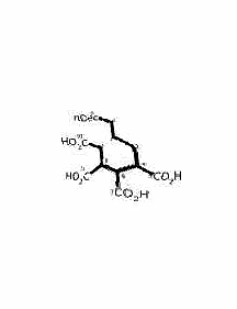 CCCCCCCCCCCCCC(C(=O)O)C(C(=O)O)C(CC(=O)O)C(=O)O